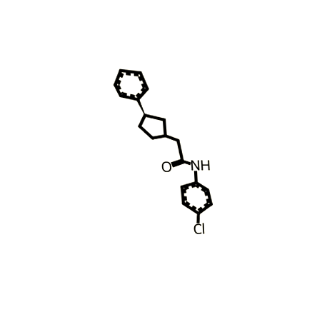 O=C(CC1CC[C@@H](c2ccccc2)C1)Nc1ccc(Cl)cc1